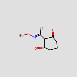 CCON=C(CC)C1C(=O)CCCC1=O